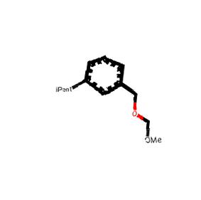 CCCC(C)c1cccc(COCOC)c1